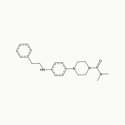 CN(C)C(=O)N1CCN(c2ccc(NCCc3ccccc3)cc2)CC1